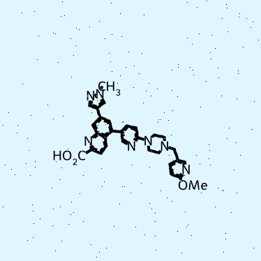 COc1ccc(CN2CCN(c3ccc(-c4cc(-c5cnn(C)c5)cc5nc(C(=O)O)ccc45)cn3)CC2)cn1